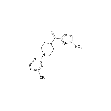 O=C(c1ccc([N+](=O)[O-])o1)N1CCN(c2nccc(C(F)(F)F)n2)CC1